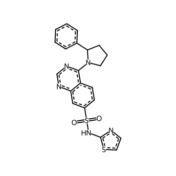 O=S(=O)(Nc1nccs1)c1ccc2c(N3CCCC3c3ccccc3)ncnc2c1